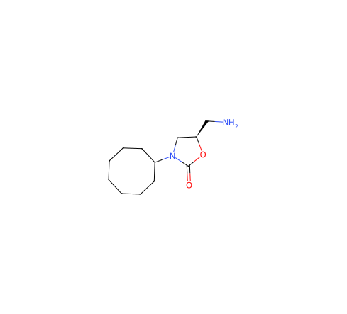 NC[C@@H]1CN(C2CCCCCCC2)C(=O)O1